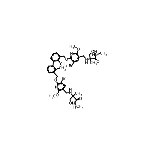 CNC(=O)C(C)(CO)NCc1cc(Br)c(OCc2cccc(-c3cccc(COc4nc(OC)c(CNC(C)(CO)C(=O)NC)cc4Br)c3C)c2C)nc1OC